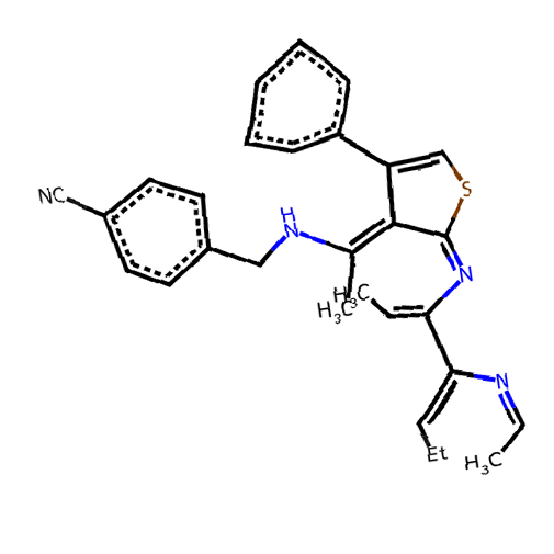 C\C=N/C(=C\CC)C(=C/C)/N=C1/SC=C(c2ccccc2)/C1=C(/C)NCc1ccc(C#N)cc1